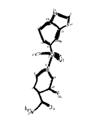 NC(=O)C1CCN(S(=O)(=O)c2ccc3ncsc3c2)CC1F